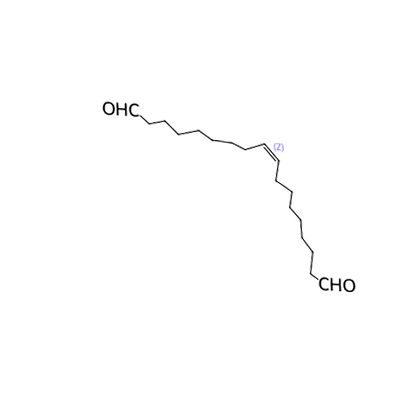 O=CCCCCCCC/C=C\CCCCCCCC=O